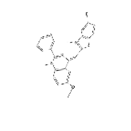 COc1ccc2c(c1)/C(=C/c1sc3ccc(F)cc3[n+]1C)N=C(c1ccccc1)N2C